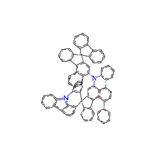 c1ccc(-c2ccc(-c3ccccc3N(c3ccc4c(c3)C3(c5ccccc5-4)c4ccccc4-n4c5ccccc5c5cccc3c54)c3cc4c(c5ccccc35)-c3ccccc3C43c4ccccc4-c4ccccc43)cc2)cc1